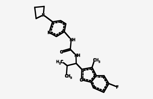 Cc1c(C(NC(=O)Nc2ccc(N3CCC3)nc2)C(C)C)oc2ccc(F)cc12